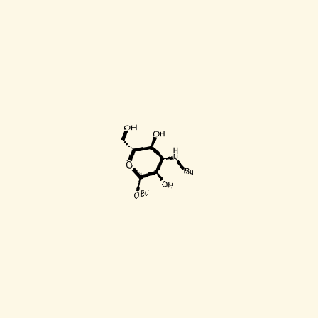 CCC(C)N[C@H]1[C@@H](O)[C@@H](OCC(C)C)O[C@H](CO)[C@H]1O